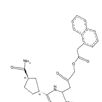 NC(=O)[C@@H]1CC[C@@H](C(=O)NC(CC(=O)COC(=O)Cc2cccc3ccccc23)C(=O)O)C1